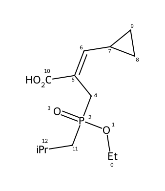 CCOP(=O)(C/C(=C\C1CC1)C(=O)O)CC(C)C